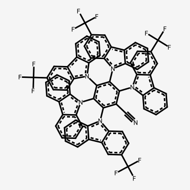 N#Cc1c(-n2c3ccccc3c3cc(C(F)(F)F)ccc32)c(-n2c3ccccc3c3ccccc32)c(-n2c3ccccc3c3cc(C(F)(F)F)ccc32)c(-n2c3ccccc3c3cc(C(F)(F)F)ccc32)c1-n1c2ccccc2c2cc(C(F)(F)F)ccc21